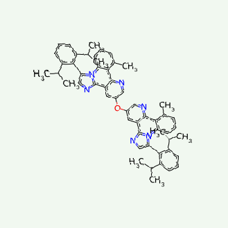 Cc1cccc2c1c1ncc(Oc3cnc4c(c3)c3ncc(-c5c(C(C)C)cccc5C(C)C)n3c3cccc(C)c43)cc1c1ncc(-c3c(C(C)C)cccc3C(C)C)n21